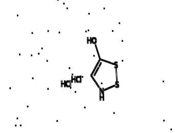 Cl.Cl.OC1=CNSS1